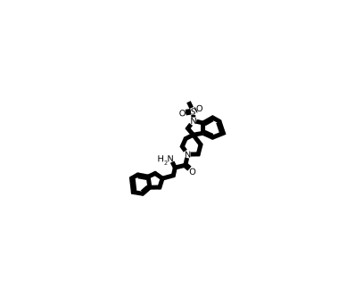 CS(=O)(=O)N1CC2(CCN(C(=O)C(N)CC3Cc4ccccc4C3)CC2)c2ccccc21